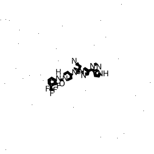 N#CCC1(n2cc(-c3ncnc4[nH]ccc34)cn2)CN(C2CCN(C(=O)Nc3cccc(C(F)(F)F)c3F)CC2)C1